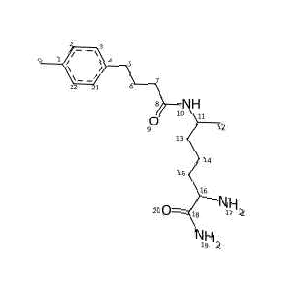 Cc1ccc(CCCC(=O)NC(C)CCCC(N)C(N)=O)cc1